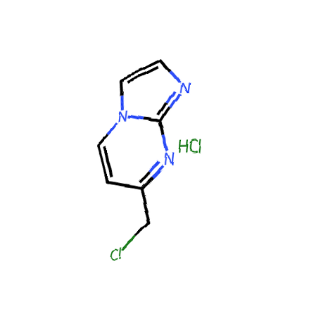 Cl.ClCc1ccn2ccnc2n1